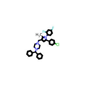 Cc1c(CN2CCN(C(c3ccccc3)c3ccccc3)CC2)cc(-c2ccc(Cl)cc2)n1-c1ccc(F)cc1F